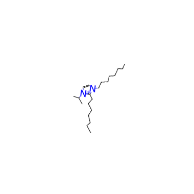 CCCCCCCCn1cc[n+](C(C)C)c1CCCCCCC